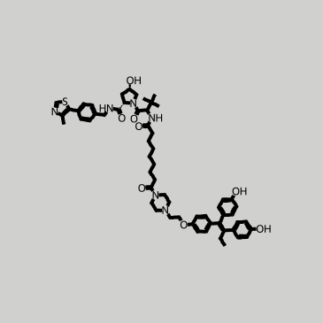 CCC(=C(c1ccc(O)cc1)c1ccc(OCCN2CCN(C(=O)CCCCCCCC(=O)NC(C(=O)N3C[C@H](O)C[C@H]3C(=O)NCc3ccc(-c4scnc4C)cc3)C(C)(C)C)CC2)cc1)c1ccc(O)cc1